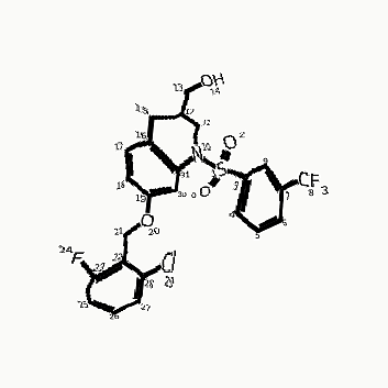 O=S(=O)(c1cccc(C(F)(F)F)c1)N1CC(CO)Cc2ccc(OCc3c(F)cccc3Cl)cc21